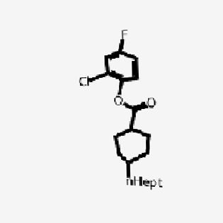 CCCCCCCC1CCC(C(=O)Oc2ccc(F)cc2Cl)CC1